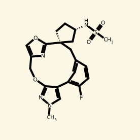 Cn1cc2c(n1)OCc1coc(n1)[C@]1(CC[C@H](NS(C)(=O)=O)C1)Cc1ccc(F)c-2c1